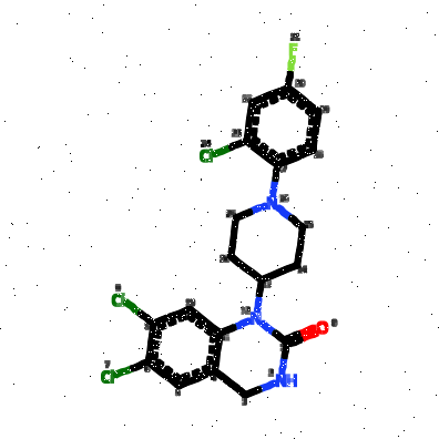 O=C1NCc2cc(Cl)c(Cl)cc2N1C1CCN(c2ccc(F)cc2Cl)CC1